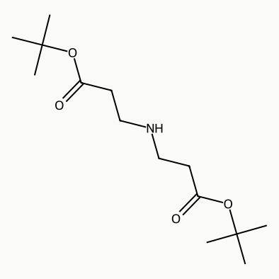 CC(C)(C)OC(=O)CCNCCC(=O)OC(C)(C)C